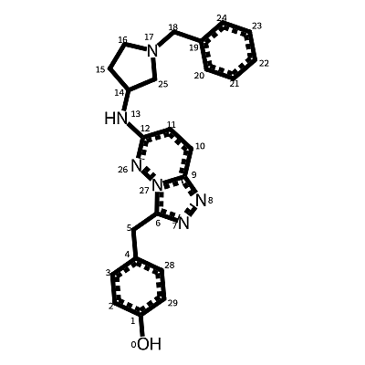 Oc1ccc(Cc2nnc3ccc(NC4CCN(Cc5ccccc5)C4)nn23)cc1